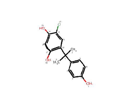 CC(C)(c1ccc(O)cc1)c1cc(Cl)c(O)cc1O